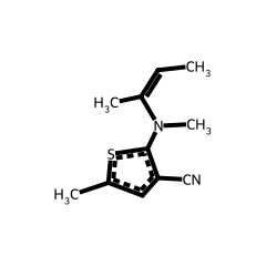 C/C=C(/C)N(C)c1sc(C)cc1C#N